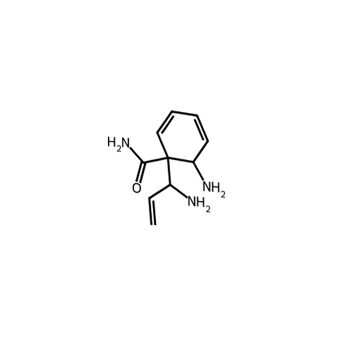 C=CC(N)C1(C(N)=O)C=CC=CC1N